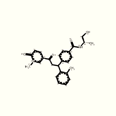 Cc1ccccc1C(CC(=O)c1ccc(=O)n(C)c1)c1ccc(C(=O)N[C@@H](C)CO)cc1